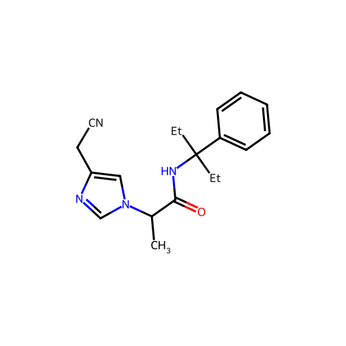 CCC(CC)(NC(=O)C(C)n1cnc(CC#N)c1)c1ccccc1